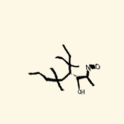 CCCC(C)(C)[C@@H](C(O)C(C)N=O)C(C)(C)CC